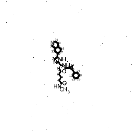 CNC(=O)CCCCC[C@H](NC(=O)C1CC1c1ccccc1)c1ncc(-c2ccc3ccncc3c2)[nH]1